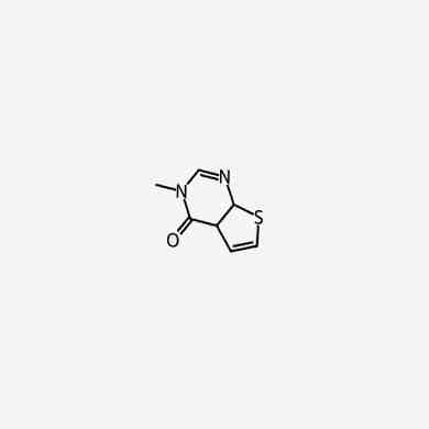 CN1C=NC2SC=CC2C1=O